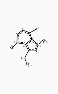 CNc1nn(C)c2c(I)ccc(Cl)c12